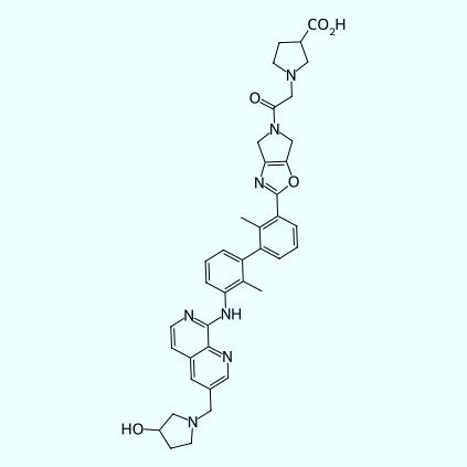 Cc1c(Nc2nccc3cc(CN4CCC(O)C4)cnc23)cccc1-c1cccc(-c2nc3c(o2)CN(C(=O)CN2CCC(C(=O)O)C2)C3)c1C